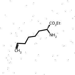 C=CCCCC[C@H](N)C(=O)OCC